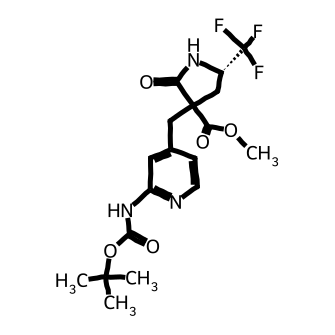 COC(=O)C1(Cc2ccnc(NC(=O)OC(C)(C)C)c2)C[C@@H](C(F)(F)F)NC1=O